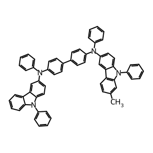 Cc1ccc2c3cc(N(c4ccccc4)c4ccc(-c5ccc(N(c6ccccc6)c6ccc7c(c6)c6ccccc6n7-c6ccccc6)cc5)cc4)ccc3n(-c3ccccc3)c2c1